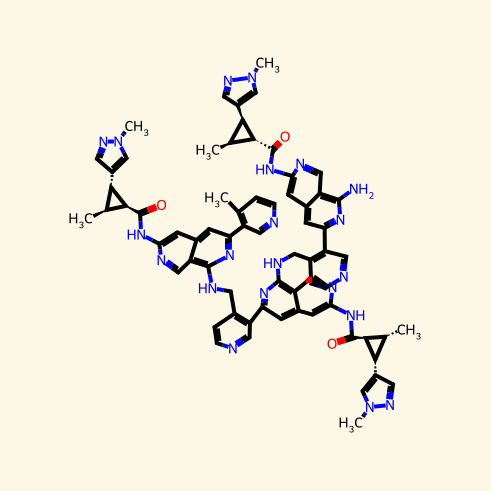 Cc1ccncc1-c1cc2cc(NC(=O)[C@H]3[C@@H](C)[C@@H]3c3cnn(C)c3)ncc2c(NCc2ccncc2-c2cc3cc(NC(=O)[C@H]4[C@H](C)[C@@H]4c4cnn(C)c4)ncc3c(NCc3ccncc3-c3cc4cc(NC(=O)[C@@H]5[C@@H](C)[C@H]5c5cnn(C)c5)ncc4c(N)n3)n2)n1